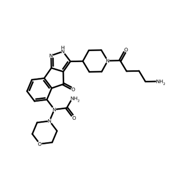 NCCCC(=O)N1CCC(c2[nH]nc3c2C(=O)c2c-3cccc2N(C(N)=O)N2CCOCC2)CC1